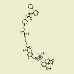 Cc1cc(NC(=O)CCCCCNC(=O)CCN2CCC(OC(=O)Nc3ccccc3-c3ccccc3)CC2)c(C)cc1CNCC(O[Si](C)(C)C(C)(C)C)c1ccc(O)c2[nH]c(=O)ccc12